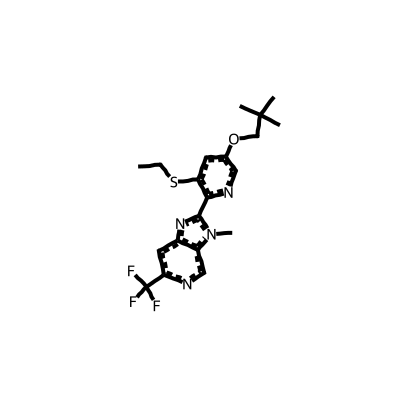 CCSc1cc(OCC(C)(C)C)cnc1-c1nc2cc(C(F)(F)F)ncc2n1C